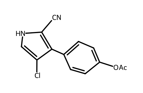 CC(=O)Oc1ccc(-c2c(Cl)c[nH]c2C#N)cc1